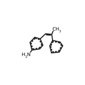 CC(=Cc1ccc(N)cc1)c1ccccc1